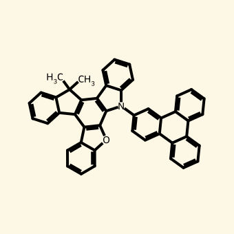 CC1(C)c2ccccc2-c2c1c1c3ccccc3n(-c3ccc4c5ccccc5c5ccccc5c4c3)c1c1oc3ccccc3c21